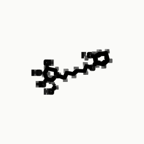 OC[C@@H]1[C@@H](O)[C@H](O)[C@@H](O)CN1CCCCCCOc1ccccc1C(F)(F)F